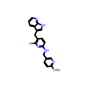 COc1ccc(CNc2ccc(Cc3c[nH]c4ncccc34)c(Cl)n2)cn1